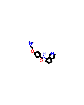 CN(C)CCOc1ccc(C(=O)Nc2cccc3ccncc23)cc1